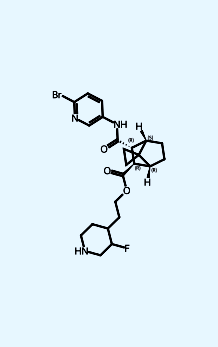 O=C(OCCC1CCNCC1F)[C@H]1[C@H](C(=O)Nc2ccc(Br)nc2)[C@@H]2CC[C@H]1C21CC1